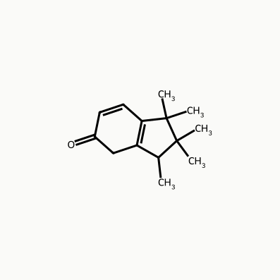 CC1C2=C(C=CC(=O)C2)C(C)(C)C1(C)C